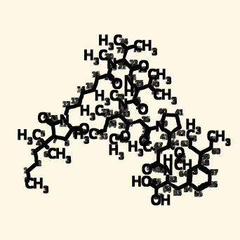 CCCCC(C)(C)C1CC(=O)N(CCCCCC(=O)N(C)[C@H](C(=O)N[C@H](C(=O)N(C)[C@@H]([C@@H](C)CC)[C@@H](CC(=O)N2CCC[C@H]2[C@H](OC)[C@@H](C)C(=O)N[C@@H](Cc2cccc(C(CC)CC)c2)C(O)O)OC)C(C)C)C(C)C)C1=O